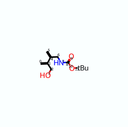 C=C(CO)C(=C)CNC(=O)OC(C)(C)C